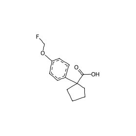 O=C(O)C1(c2ccc(OCF)cc2)CCCC1